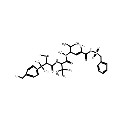 CNC(C(=O)NC(C(=O)N(C)C(/C=C(\C)C(=O)NS(=O)(=O)Cc1ccccc1)C(C)C)C(C)(C)C)C(C)(C)c1ccc(CN)cc1